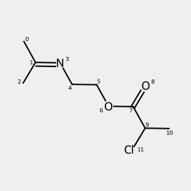 CC(C)=NCCOC(=O)C(C)Cl